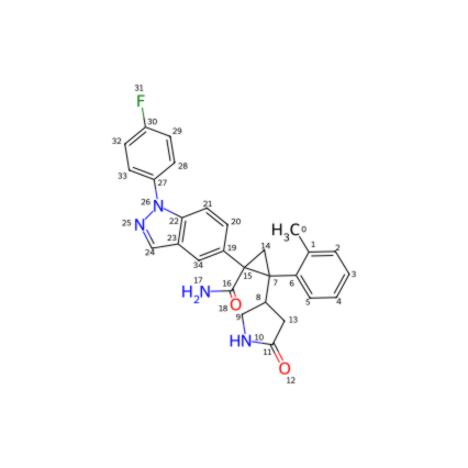 Cc1ccccc1C1(C2CNC(=O)C2)CC1(C(N)=O)c1ccc2c(cnn2-c2ccc(F)cc2)c1